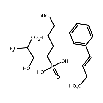 CCCCCCCCCCCCCCP(=O)(O)O.O=C(O)C(CO)C(F)(F)F.O=C(O)CC=Cc1ccccc1